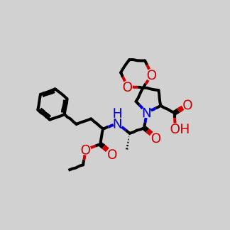 CCOC(=O)C(CCc1ccccc1)N[C@@H](C)C(=O)N1CC2(CC1C(=O)O)OCCCO2